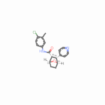 Cc1cc(NC(=O)[C@@H]2[C@H](c3ccncc3)[C@H]3CC[C@@H]2O3)ccc1Cl